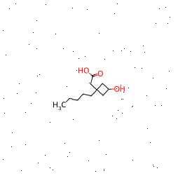 CCCCCC1(CC(=O)O)CC(O)C1